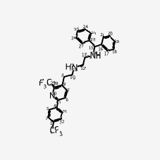 FC(F)(F)c1ccc(-c2ccc(CCNCCNC(c3ccccc3)c3ccccc3)c(C(F)(F)F)n2)cc1